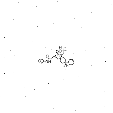 CN(C)[C@]1(C2C=CC=CC2)CC[C@]2(CC1)CN(CCC(=O)NC1COC1)C(=O)N2CC1(O)CCC1